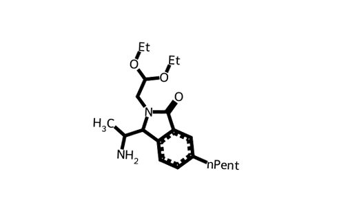 CCCCCc1ccc2c(c1)C(=O)N(CC(OCC)OCC)C2C(C)N